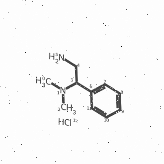 CN(C)C(CN)c1ccccc1.Cl